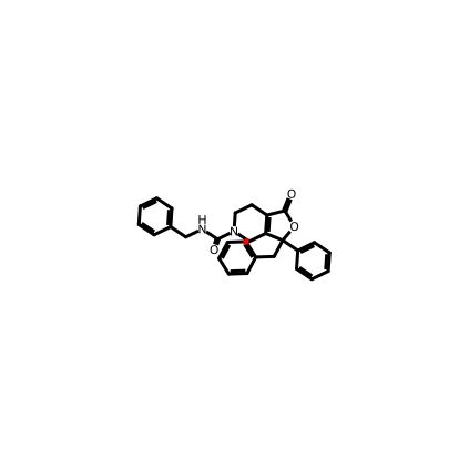 O=C1OC(Cc2ccccc2)(c2ccccc2)C2=C1CCN(C(=O)NCc1ccccc1)C2